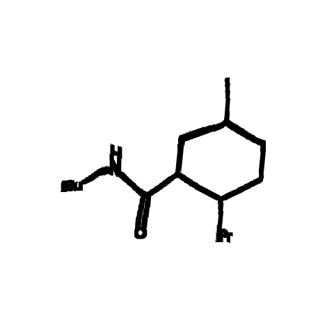 CCC(C)NC(=O)C1CC(C)CCC1C(C)C